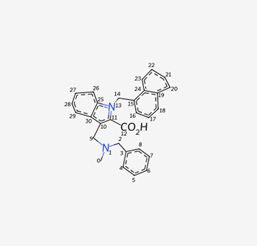 CN(Cc1ccccc1)Cc1c(C(=O)O)n(Cc2cccc3ccccc23)c2ccccc12